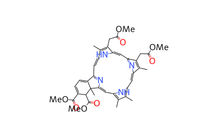 COC(=O)CC1=C(C)c2cc3[nH]c(cc4nc(cc5[nH]c(cc1n2)c(CC(=O)OC)c5C)C1=CC=C(C(=O)OC)C(C(=O)OC)C14C)c(C)c3C